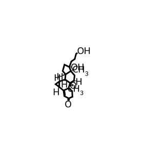 C[C@]12CCC(=O)C=C1[C@@H]1C[C@@H]1[C@H]1[C@@H]3CC[C@@](O)(CCCO)[C@@]3(C)C[C@H]3O[C@@]132